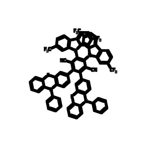 N#Cc1c(-c2ccc3c(c2)Sc2ccccc2N3c2ccccc2)c(-c2ccc3c(c2)Sc2ccccc2N3c2ccccc2)c(C#N)c(-n2c3cc(C(F)(F)F)ccc3c3ccc(C(F)(F)F)cc32)c1-n1c2cc(C(F)(F)F)ccc2c2ccc(C(F)(F)F)cc21